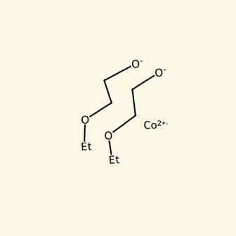 CCOCC[O-].CCOCC[O-].[Co+2]